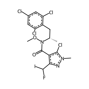 CON(C(=O)c1c(C(F)I)nn(C)c1Cl)[C@@H](C)Cc1c(Cl)cc(Cl)cc1Cl